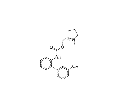 CN1CCC[C@H]1COC(=O)Nc1ccccc1-c1cccc(O)c1